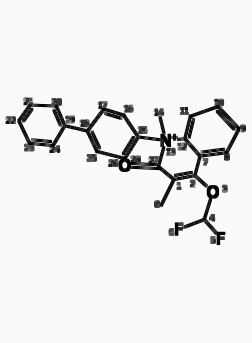 CC1=C(OC(F)F)c2ccccc2[N+](C)(c2ccc(-c3ccccc3)cc2)C1=O